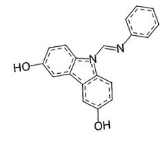 Oc1ccc2c(c1)c1cc(O)ccc1n2C=Nc1ccccc1